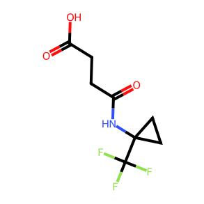 O=C(O)CCC(=O)NC1(C(F)(F)F)CC1